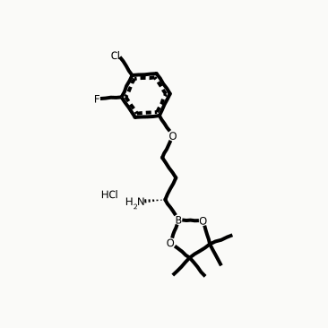 CC1(C)OB([C@H](N)CCOc2ccc(Cl)c(F)c2)OC1(C)C.Cl